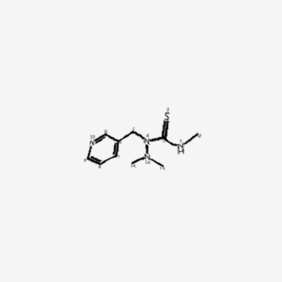 CNC(=S)N(Cc1cccnc1)N(C)C